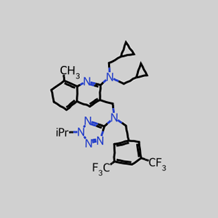 CC1=c2nc(N(CC3CC3)CC3CC3)c(CN(Cc3cc(C(F)(F)F)cc(C(F)(F)F)c3)c3nnn(C(C)C)n3)cc2=CCC1